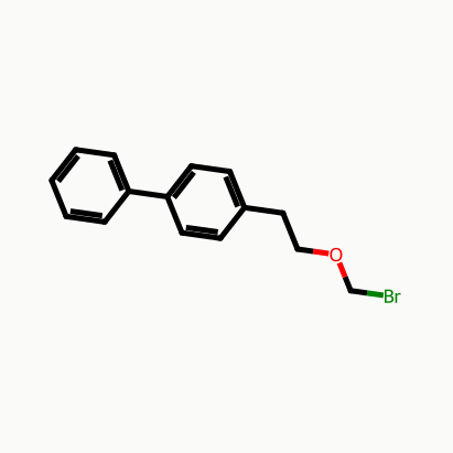 BrCOCCc1ccc(-c2ccccc2)cc1